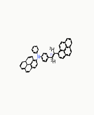 [2H]/C(=C(/[2H])c1ccc2ccc3cccc4ccc1c2c34)c1ccc(N(c2ccccc2)c2ccc3c4c2C=CC2C=CC=C(C=C3)C42)cc1